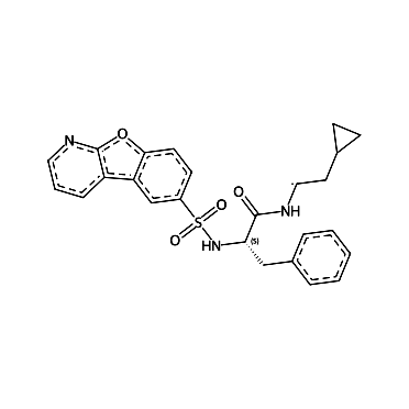 O=C(N[CH]CC1CC1)[C@H](Cc1ccccc1)NS(=O)(=O)c1ccc2oc3ncccc3c2c1